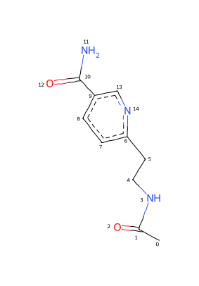 CC(=O)NCCc1ccc(C(N)=O)cn1